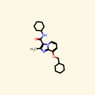 Cc1nc2c(OCC3CCCCC3)cccn2c1C(=O)NC1CCCCC1